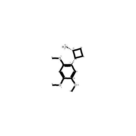 COc1cc(OC)c([C@H]2CC[C@H]2N)cc1OC